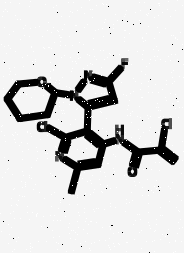 C=C(Cl)C(=O)Nc1cc(C)nc(Cl)c1-c1cc(F)nn1C1CCCCO1